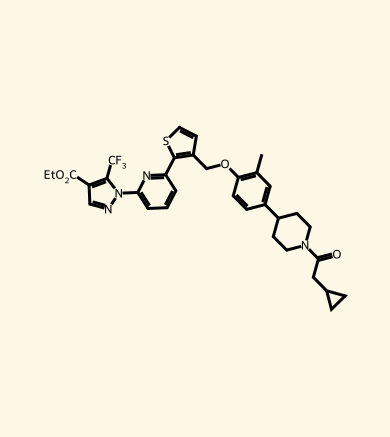 CCOC(=O)c1cnn(-c2cccc(-c3sccc3COc3ccc(C4CCN(C(=O)CC5CC5)CC4)cc3C)n2)c1C(F)(F)F